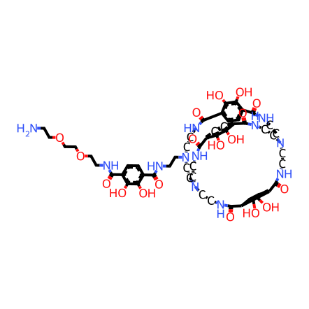 NCCOCCOCCNC(=O)c1ccc(C(=O)NCCN2CCNC(=O)c3ccc(c(O)c3O)C(=O)NCCN3CCNC(=O)C4=C(O)C(O)C(C=C4)C(=O)NCCN(CCNC(=O)c4ccc(c(O)c4O)C(=O)NCC3)CC2)c(O)c1O